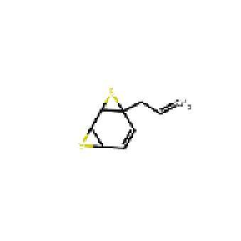 C=CCC12C=CC3SC3C1S2